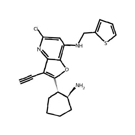 C#Cc1c([C@H]2CCCC[C@@H]2N)oc2c(NCc3cccs3)cc(Cl)nc12